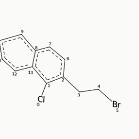 Clc1c(CCBr)ccc2ccccc12